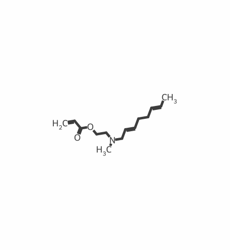 C=CC(=O)OCCN(C)C/C=C/CC/C=C/C